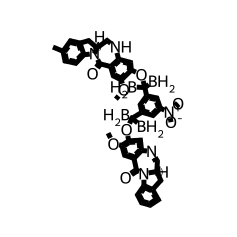 BC(B)(Oc1cc2c(cc1OC)C(=O)N1c3ccccc3C[C@H]1C=N2)c1cc([N+](=O)[O-])cc(C(B)(B)Oc2cc3c(cc2OC)C(=O)N2c4ccc(C)cc4C[C@H]2CN3)c1